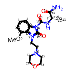 COc1cccc2c1n(CCN1CCOCC1)c(=O)n2C(=O)N[C@H](C(N)=O)C(C)(C)C